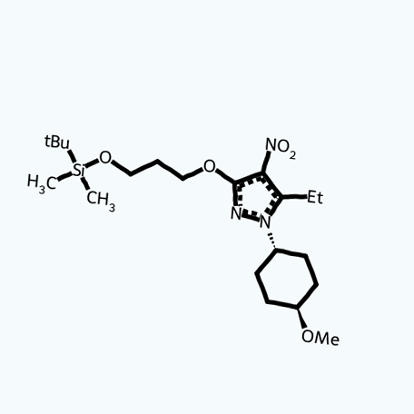 CCc1c([N+](=O)[O-])c(OCCCO[Si](C)(C)C(C)(C)C)nn1[C@H]1CC[C@H](OC)CC1